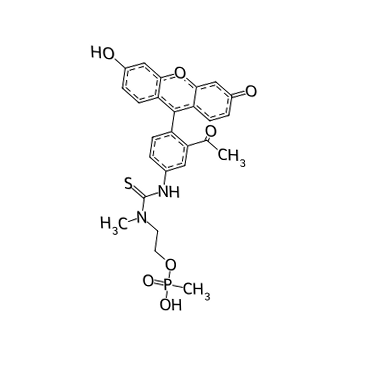 CC(=O)c1cc(NC(=S)N(C)CCOP(C)(=O)O)ccc1-c1c2ccc(=O)cc-2oc2cc(O)ccc12